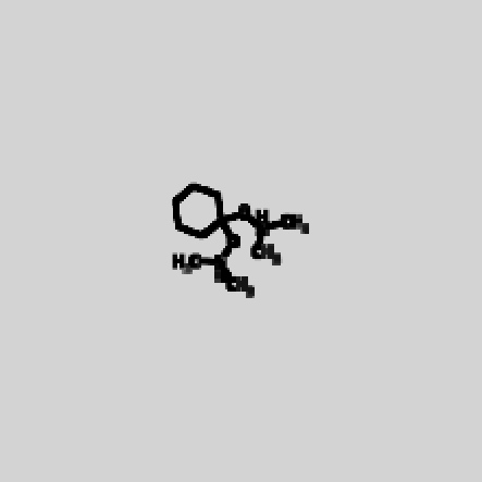 C[SiH](C)OC1(O[SiH](C)C)CCCCC1